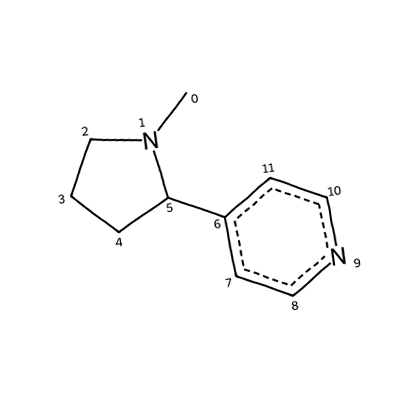 CN1CCCC1c1ccncc1